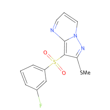 CSc1nn2cccnc2c1S(=O)(=O)c1cccc(F)c1